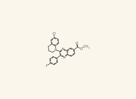 COC(=O)c1ccc2nc(-c3ccc(F)cc3)c(N3CCCc4cc(Cl)ccc43)nc2c1